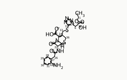 CCOP(=O)(O)Cn1nnnc1SCC1=C(C(=O)O)N2C(=O)[C@@H](NC(=O)Cc3ccccc3N)[C@H]2SC1